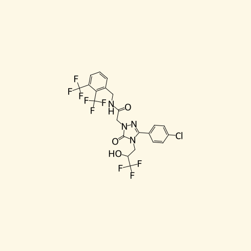 O=C(Cn1nc(-c2ccc(Cl)cc2)n(CC(O)C(F)(F)F)c1=O)NCc1cccc(C(F)(F)F)c1C(F)(F)F